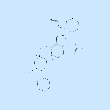 C=CC[N+]1([C@H]2C[C@H]3[C@@H]4CC[C@H]5C[C@H](OC(C)=O)[C@@H](N6CCCCC6)CC5[C@H]4CC[C@]3(C)[C@H]2OC(=O)CC)CCCCC1